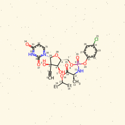 C#C[C@@]1(O)[C@H](O)[C@@H](COP(=O)(N[C@@H](C)C(=O)OC(CC)CC)Oc2ccc(Cl)cc2)O[C@H]1n1ccc(=O)[nH]c1=O